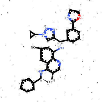 CC[C@@H](Nc1c(C#N)cnc2c(N[C@@H](c3cccc(-c4ncco4)c3)c3cn(C4CC4)nn3)cc(C#N)cc12)c1ccccc1